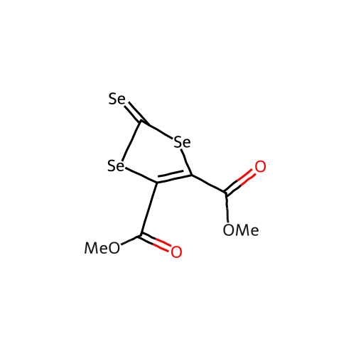 COC(=O)c1[se]c(=[Se])[se]c1C(=O)OC